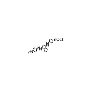 CCCCCCCCc1ccc(N=Nc2ccc(N=Nc3ccc(N4CCCC4)cc3)c3ccccc23)cc1